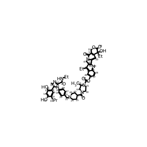 CCNC(=O)c1nnc(-c2cc(C(C)C)c(O)cc2O)n1-c1ccc(CN2CCC(C(=O)N3CCN(C(=O)Oc4ccc5nc6c(c(CC)c5c4)Cn4c-6cc5c(c4=O)COC(=O)C5(O)CC)C(C)C3)CC2)cc1